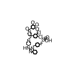 COc1cc(C(=O)N2CC[C@@](CCN3CCC(Nc4nc5ccccc5n4Cc4ccc(F)cc4)CC3)(c3ccc(Cl)c(Cl)c3)C2)cc(OC)c1OC.CS(=O)(=O)O